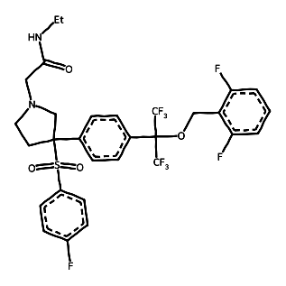 CCNC(=O)CN1CCC(c2ccc(C(OCc3c(F)cccc3F)(C(F)(F)F)C(F)(F)F)cc2)(S(=O)(=O)c2ccc(F)cc2)C1